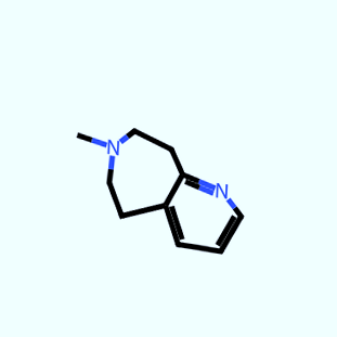 CN1CCc2cccnc2CC1